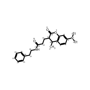 CCN(CC)c1ccc2c(c1)OC(=O)C(CCC(=O)NCCc1ccccc1)C2C